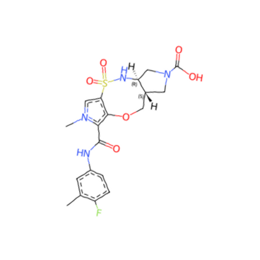 Cc1cc(NC(=O)c2c3c(cn2C)S(=O)(=O)N[C@H]2CN(C(=O)O)C[C@@H]2CO3)ccc1F